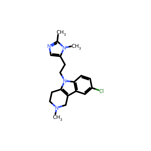 Cc1ncc(CCn2c3c(c4cc(Cl)ccc42)CN(C)CC3)n1C